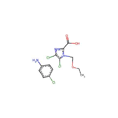 CCOCn1c(C(=O)O)nc(Cl)c1Cl.Nc1ccc(Cl)cc1